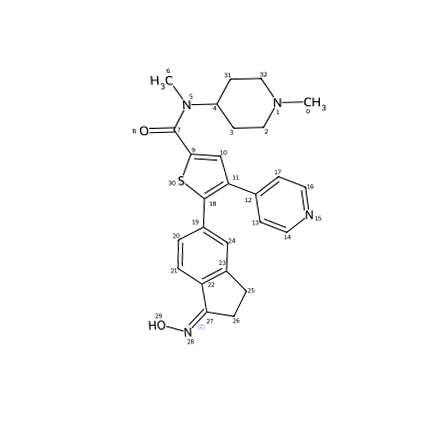 CN1CCC(N(C)C(=O)c2cc(-c3ccncc3)c(-c3ccc4c(c3)CC/C4=N/O)s2)CC1